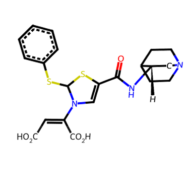 O=C(O)/C=C(\C(=O)O)N1C=C(C(=O)N[C@H]2CN3CCC2CC3)SC1Sc1ccccc1